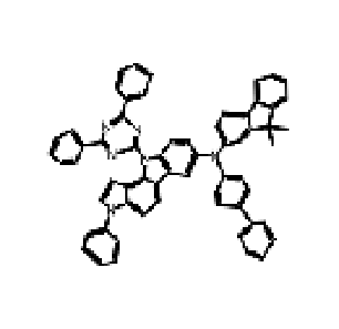 CC1(C)c2ccccc2-c2ccc(N(c3ccc(-c4ccccc4)cc3)c3ccc4c(c3)c3ccc5c(ccn5-c5ccccc5)c3n4-c3nc(-c4ccccc4)nc(-c4ccccc4)n3)cc21